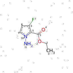 CCOC(=O)c1c(F)ccn1N